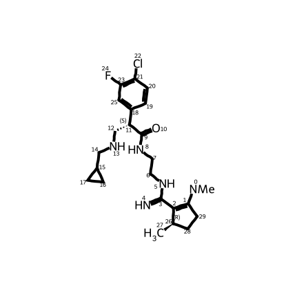 CNC1=C(C(=N)NCCNC(=O)[C@H](CNCC2CC2)c2ccc(Cl)c(F)c2)[C@H](C)CC1